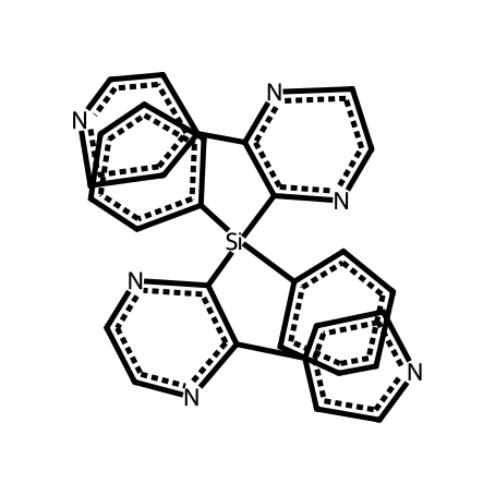 c1ccc([Si](c2ccccc2)(c2nccnc2-c2ccncc2)c2nccnc2-c2ccncc2)cc1